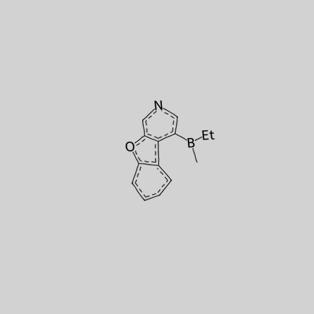 CCB(C)c1cncc2oc3ccccc3c12